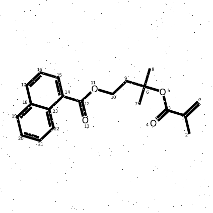 C=C(C)C(=O)OC(C)(C)CCOC(=O)c1cccc2ccccc12